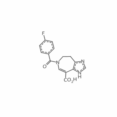 O=C(O)C1=CN(C(=O)c2ccc(F)cc2)CCc2nc[nH]c21